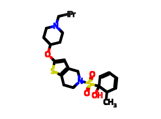 CC(C)CN1CCC(Oc2cc3c(s2)CCN(S(=O)(=O)C2(O)C=CC=CC2C)C3)CC1